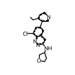 CCc1ccncc1-c1cc(Cl)c2nnc(NC3CCOC3)cc2c1